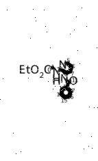 CCOC(=O)CNc1ncccc1NC(=O)c1ccccc1